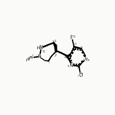 CCCN1CC(c2nc(Cl)ncc2F)CN1